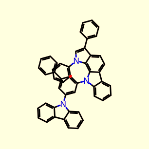 c1ccc(-c2cc(-n3c4ccccc4c4ccccc43)cc(-n3c4ccccc4c4ccc5c(-c6ccccc6)cn(-c6ccccc6)c5c43)c2)cc1